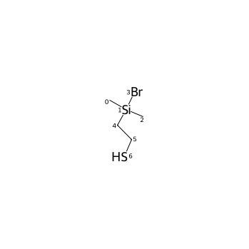 C[Si](C)(Br)CCS